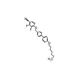 CCCCCCCOc1ccc(-c2ccc(COc3ccc(C#N)c(F)c3F)cc2)cc1